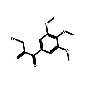 C=C(CBr)C(=O)c1cc(OC)c(OC)c(OC)c1